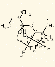 CCC(C)C(=O)OC(C(C)C)C(O)(C(F)(F)F)C(F)(F)F